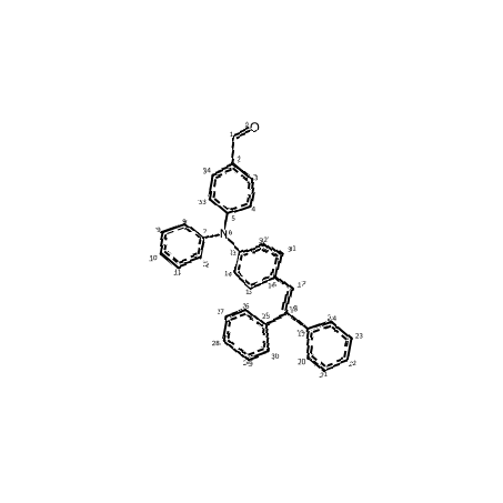 O=Cc1ccc(N(c2ccccc2)c2ccc(C=C(c3ccccc3)c3ccccc3)cc2)cc1